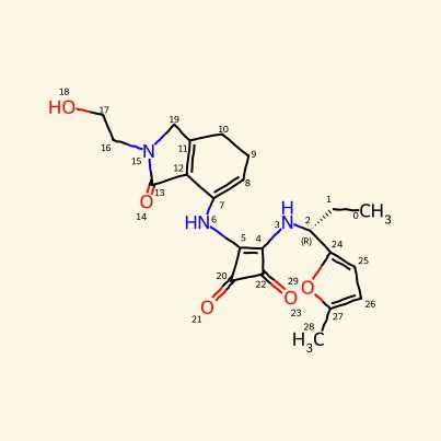 CC[C@@H](Nc1c(NC2=CCCC3=C2C(=O)N(CCO)C3)c(=O)c1=O)c1ccc(C)o1